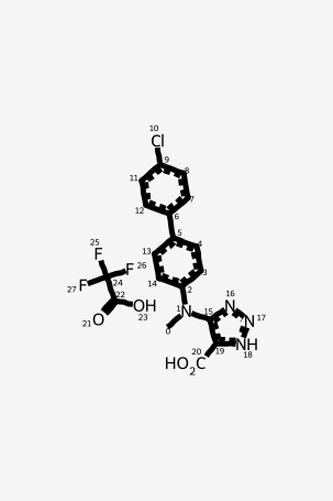 CN(c1ccc(-c2ccc(Cl)cc2)cc1)c1nn[nH]c1C(=O)O.O=C(O)C(F)(F)F